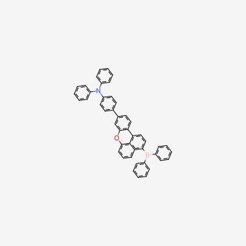 c1ccc(B(c2ccccc2)c2ccc3c4c(cccc24)Oc2cc(-c4ccc(N(c5ccccc5)c5ccccc5)cc4)ccc2-3)cc1